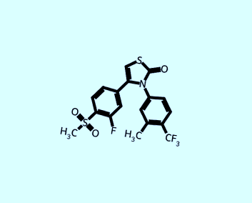 Cc1cc(-n2c(-c3ccc(S(C)(=O)=O)c(F)c3)csc2=O)ccc1C(F)(F)F